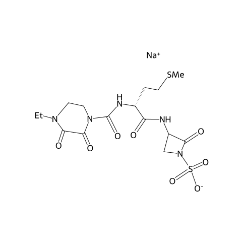 CCN1CCN(C(=O)N[C@H](CCSC)C(=O)NC2CN(S(=O)(=O)[O-])C2=O)C(=O)C1=O.[Na+]